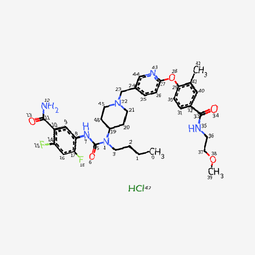 CCCCN(C(=O)Nc1cc(C(N)=O)c(F)cc1F)C1CCN(Cc2ccc(Oc3ccc(C(=O)NCCOC)cc3C)nc2)CC1.Cl